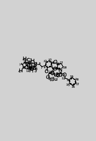 CC(C)(C)OC(=O)Oc1c(CCB2O[C@@H]3C[C@@H]4C[C@@H](C4(C)C)[C@]3(C)O2)ccc(O[C@H]2CCN(C(=O)OCc3ccccc3)C2)c1C(=O)OC(C)(C)C